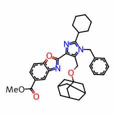 COC(=O)c1ccc2oc(-c3nc(C4CCCCC4)n(Cc4ccccc4)c3COC34CC5CC(CC(C5)C3)C4)nc2c1